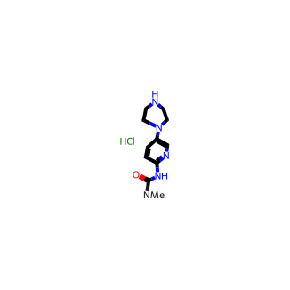 CNC(=O)Nc1ccc(N2CCNCC2)cn1.Cl